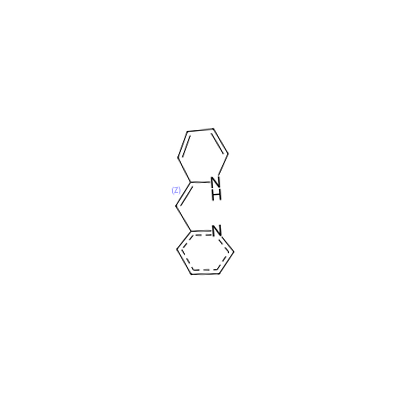 C1=CN/C(=C\c2ccccn2)C=C1